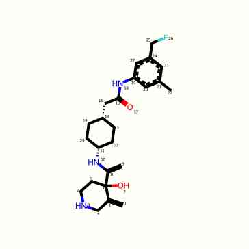 C=C1CNCCC1(O)C(=C)N[C@H]1CC[C@@H](CC(=O)Nc2cc(C)cc(CF)c2)CC1